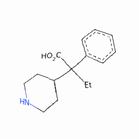 CCC(C(=O)O)(c1ccccc1)C1CCNCC1